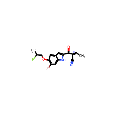 C/C=C(\C#N)C(=O)c1cc2cc(OCC(C)F)c(Br)cc2[nH]1